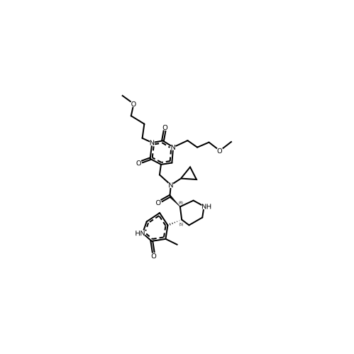 COCCCn1cc(CN(C(=O)[C@H]2CNCC[C@@H]2c2cc[nH]c(=O)c2C)C2CC2)c(=O)n(CCCOC)c1=O